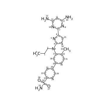 CCCN(c1nc(-c2nc(N)cc(N)n2)cs1)c1cc(-c2ccc(S(N)(=O)=O)cc2)ccc1C